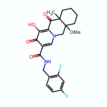 COC12CCCCC1(C)C(=O)c1c(O)c(=O)c(C(=O)NCc3ccc(F)cc3F)cn1C2